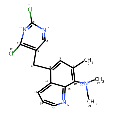 Cc1cc(Cc2cnc(Cl)nc2Cl)c2cccnc2c1N(C)C